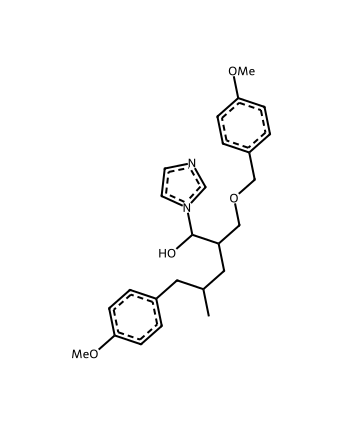 COc1ccc(COCC(CC(C)Cc2ccc(OC)cc2)C(O)n2ccnc2)cc1